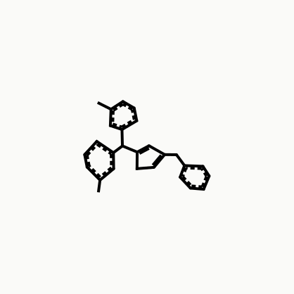 Cc1cccc(C(C2=CC(Cc3ccccc3)=CC2)c2cccc(C)c2)c1